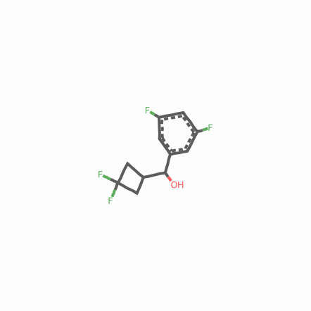 OC(c1cc(F)cc(F)c1)C1CC(F)(F)C1